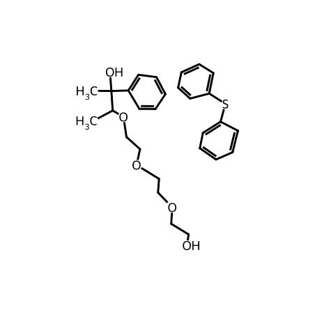 CC(OCCOCCOCCO)C(C)(O)c1ccccc1.c1ccc(Sc2ccccc2)cc1